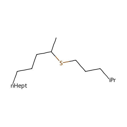 CCCCCCCCCCC(C)SCCCC(C)C